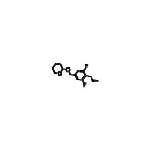 C=CCc1c(F)cc(COC2CCCCO2)cc1F